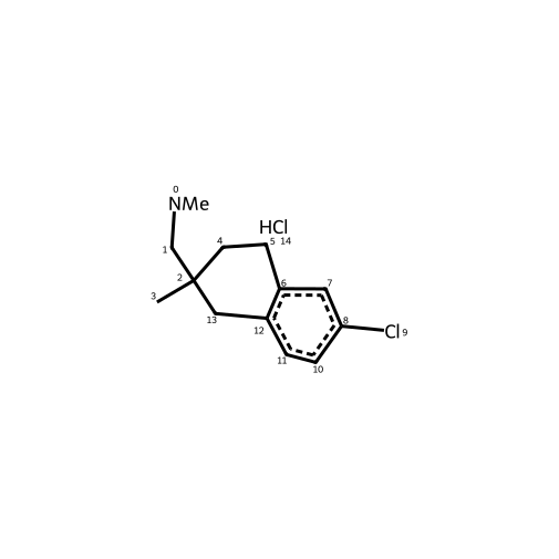 CNCC1(C)CCc2cc(Cl)ccc2C1.Cl